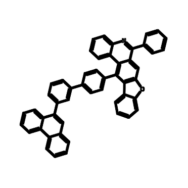 c1ccc(-c2nc3ccccc3c3c(-c4ccc(-c5cccc(-c6cc7ccccc7c7ccccc67)c5)cc4)c4c(cc23)oc2ccccc24)cc1